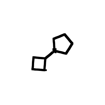 [CH]1CCC1N1CCCC1